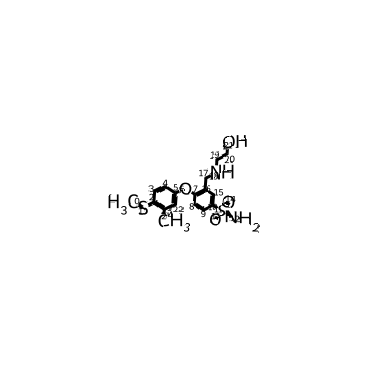 CSc1ccc(Oc2ccc(S(N)(=O)=O)cc2CNCCO)cc1C